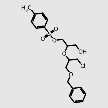 Cc1ccc(S(=O)(=O)OCC(CO)OC(CCl)COCc2ccccc2)cc1